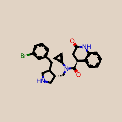 O=C1C[C@H](C(=O)N(C[C@@H]2CNCC2Cc2cccc(Br)c2)C2CC2)c2ccccc2N1